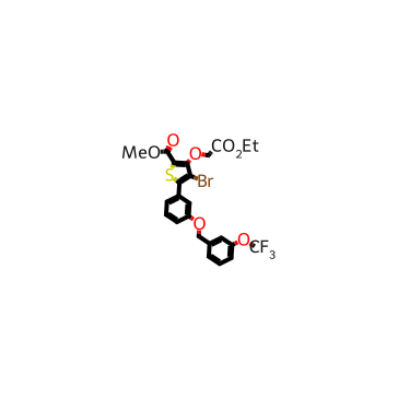 CCOC(=O)COc1c(C(=O)OC)sc(-c2cccc(OCc3cccc(OC(F)(F)F)c3)c2)c1Br